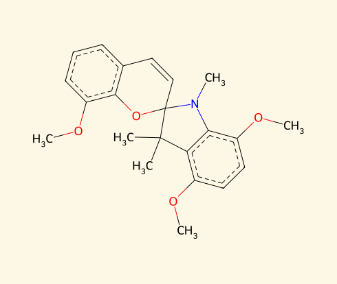 COc1cccc2c1OC1(C=C2)N(C)c2c(OC)ccc(OC)c2C1(C)C